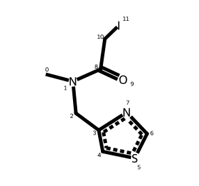 CN(Cc1cscn1)C(=O)CI